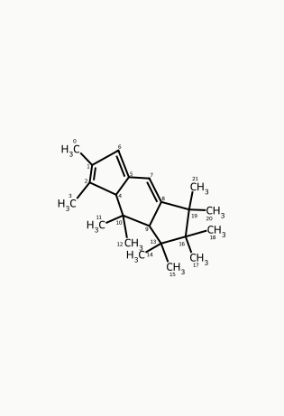 CC1=C(C)C2C(=C1)C=C1C(C2(C)C)C(C)(C)C(C)(C)C1(C)C